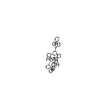 COP(=O)(C#Cc1cc(Cl)c(C(=O)NC(Cc2cccc(S(C)(=O)=O)c2)C(=O)O)c(Cl)c1)c1ccccc1